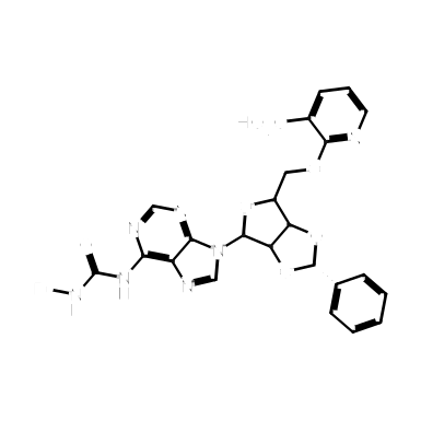 CCNC(=O)Nc1ncnc2c1ncn2C1OC(COc2ncccc2C(=O)O)C2O[C@H](c3ccccc3)OC21